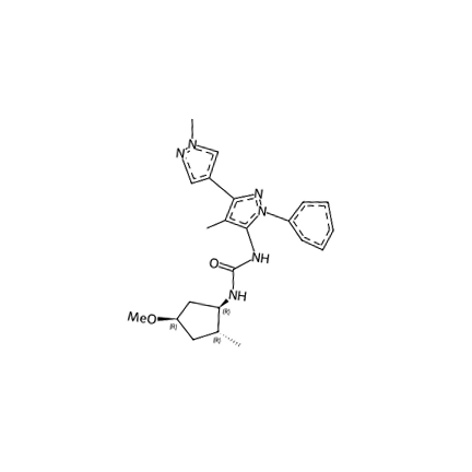 CO[C@@H]1C[C@@H](C)[C@H](NC(=O)Nc2c(C)c(-c3cnn(C)c3)nn2-c2ccccc2)C1